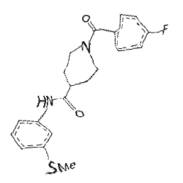 CSc1cccc(NC(=O)C2CCN(C(=O)c3ccc(F)cc3)CC2)c1